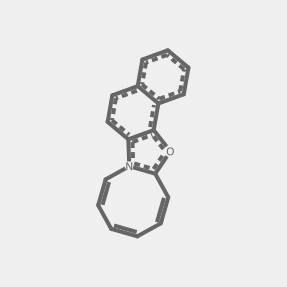 C1=C\C=C/[n+]2c(oc3c4ccccc4ccc32)\C=C/1